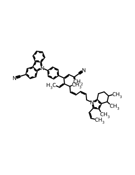 C=C(C#N)/C=C(\C(=C/C)C(C)/C=C\C=C/Cn1c(/C=C\C)c(C)c2c1CCC(C)C2C)c1ccc(-n2c3ccccc3c3cc(C#N)ccc32)cc1